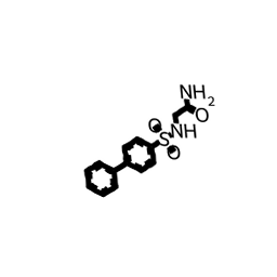 NC(=O)CNS(=O)(=O)c1ccc(-c2ccccc2)cc1